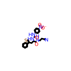 N#CCCNC(=O)C(Cc1csc2ccccc12)NC(=O)Nc1ccc([N+](=O)[O-])cc1